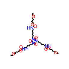 C=COCCCCOC(=O)NCCCCCCn1c(=O)n(CCCCCCNC(=O)OCCCCOC=C)c(=O)n(CCCCCCNC(=O)OCCCCOC=C)c1=O